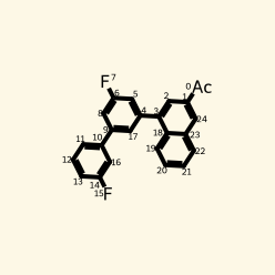 CC(=O)c1cc(-c2cc(F)cc(-c3cccc(F)c3)c2)c2ccccc2c1